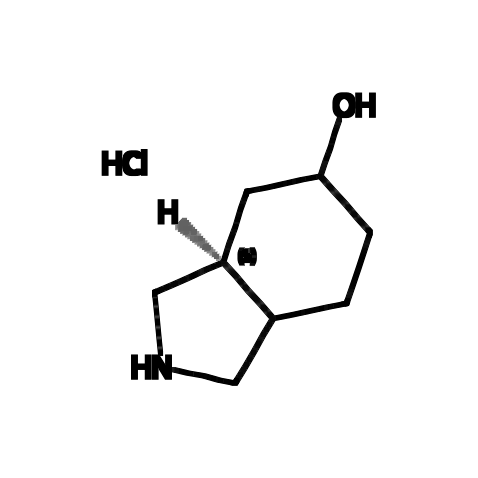 Cl.OC1CCC2CNC[C@H]2C1